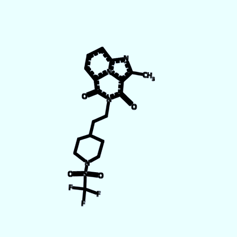 Cc1nc2cccc3c(=O)n(CCC4CCN(S(=O)(=O)C(F)(F)F)CC4)c(=O)c1n23